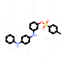 Cc1ccc(S(=O)(=O)Oc2cccc(Nc3ccc(Nc4ccccc4)cc3)c2)cc1